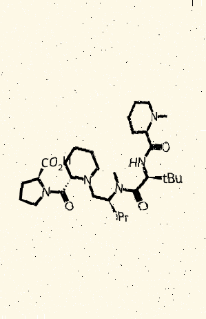 CC(C)[C@@H](CN1CCCC[C@H]1C(=O)N1CCC[C@H]1C(=O)O)N(C)C(=O)[C@@H](NC(=O)C1CCCCN1C)C(C)(C)C